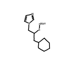 CCCCCCCCCSC(CC1CCCCC1)Cn1ccnc1